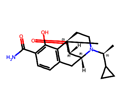 C[C@@H](C1CC1)N1CC[C@]23CC(=O)CC[C@H]2[C@H]1Cc1ccc(C(N)=O)c(O)c13